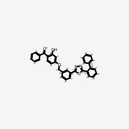 O=C(c1ccccc1)c1ccc(OCc2cccc(-c3nnc(-c4ccccc4-c4ccccc4)o3)c2)cc1O